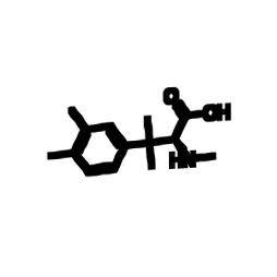 CN[C@H](C(=O)O)C(C)(C)c1ccc(C)c(C)c1